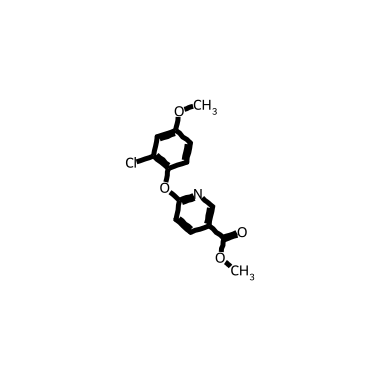 COC(=O)c1ccc(Oc2ccc(OC)cc2Cl)nc1